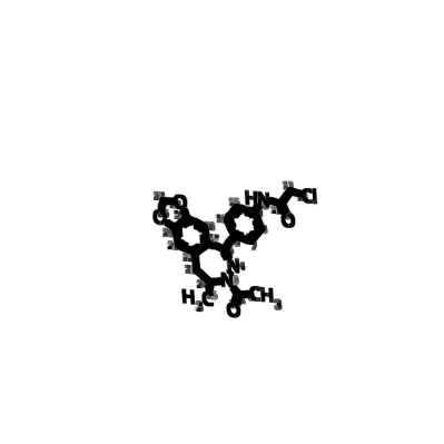 CC(=O)N1N=C(c2ccc(NC(=O)CCl)cc2)c2cc3c(cc2CC1C)OCO3